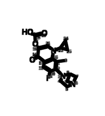 Cc1c(N2CCN3CC2C3)c(F)cc2c(=O)c(OC(=O)O)cn(C3CC3)c12